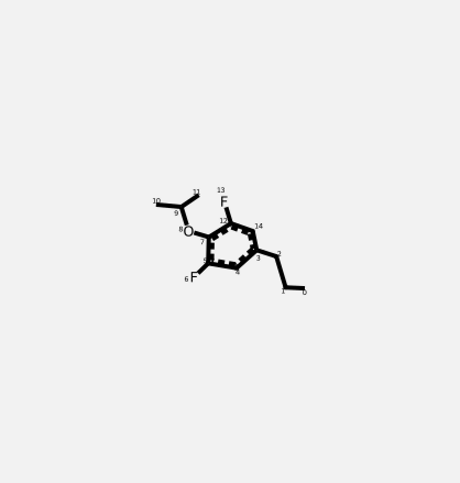 CCCc1cc(F)c(OC(C)C)c(F)c1